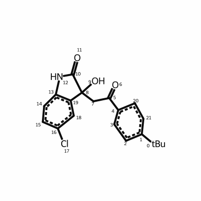 CC(C)(C)c1ccc(C(=O)CC2(O)C(=O)Nc3ccc(Cl)cc32)cc1